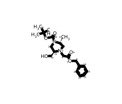 C[C@@H]1CN(CC(=O)OCc2ccccc2)[C@@H](CO)CN1C(=O)OC(C)(C)C